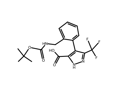 CC(C)(C)OC(=O)NCc1ccccc1-c1c(C(F)(F)F)n[nH]c1C(=O)O